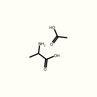 CC(=O)O.CC(N)C(=O)O